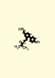 C=C(C)C(=O)OCCc1cc(CCO)ccc1-c1ccc(CCC)cc1